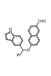 CC(C)C(Oc1ccc2cc(C=O)ccc2c1)c1ccc2[nH]ccc2c1